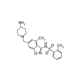 Cc1ccccc1S(=O)(=O)Nc1noc2cc(CN3CCC(N)CC3)cc(C)c12